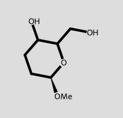 CO[C@H]1CCC(O)C(CO)O1